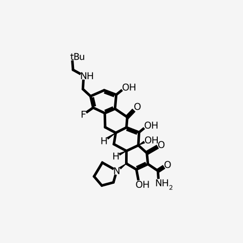 CC(C)(C)CNCc1cc(O)c2c(c1F)C[C@H]1C[C@H]3[C@H](N4CCCC4)C(O)=C(C(N)=O)C(=O)[C@@]3(O)C(O)=C1C2=O